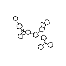 c1ccc(-c2ccc(-n3c4ccccc4c4cc(-c5ccc(-c6cccc(N(c7ccccc7)c7ccccc7)c6)c(-c6ccc7c(c6)oc6ccccc67)c5)ccc43)cc2)cc1